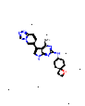 COc1nc(N[C@H]2CC[C@@]3(CCO3)CC2)nc2[nH]cc(-c3ccc4nncn4c3)c12